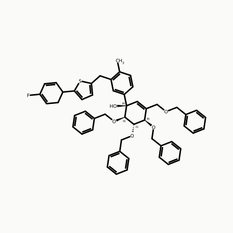 Cc1ccc([C@]2(O)C=C(COCc3ccccc3)[C@@H](OCc3ccccc3)[C@H](OCc3ccccc3)[C@H]2OCc2ccccc2)cc1Cc1ccc(C2C=CC(F)=CC2)s1